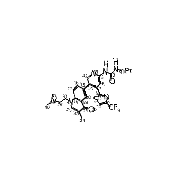 CCCNC(=O)Nc1cc(-c2nc(C(F)(F)F)cs2)c(-c2ccc3c(c2)c(=O)c(C)cn3CCN(C)C)cn1